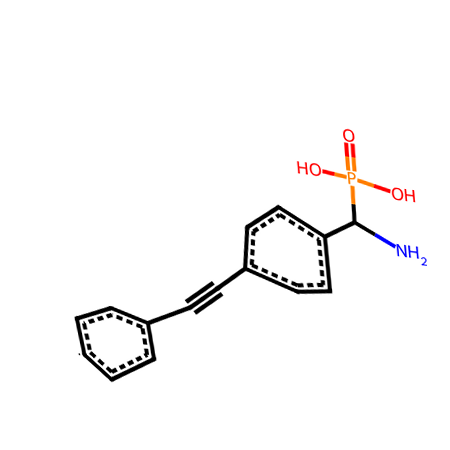 NC(c1ccc(C#Cc2cc[c]cc2)cc1)P(=O)(O)O